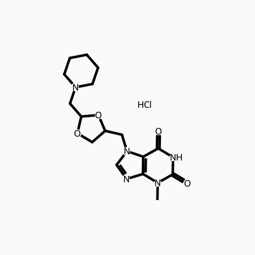 Cl.Cn1c(=O)[nH]c(=O)c2c1ncn2CC1COC(CN2CCCCC2)O1